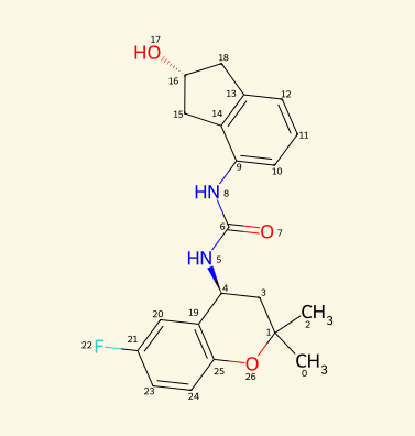 CC1(C)C[C@H](NC(=O)Nc2cccc3c2C[C@H](O)C3)c2cc(F)ccc2O1